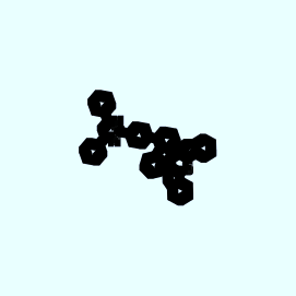 c1ccc(-c2cc(-c3ccccc3)nc(-c3ccc(-c4cccc5c4-c4ccccc4C54c5ccc6ccccc6c5Sc5c4ccc4ccccc54)cc3)n2)cc1